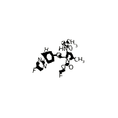 C[C@@H]1C[C@H](NS(C)(=O)=O)[C@H](CO[C@H]2CC[C@@]3(c4ncc(F)cn4)C[C@H]3C2)N1C(=O)OCCF